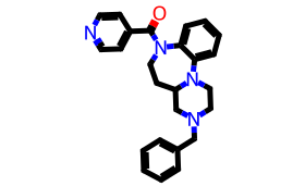 O=C(c1ccncc1)N1CCC2CN(Cc3ccccc3)CCN2c2ccccc21